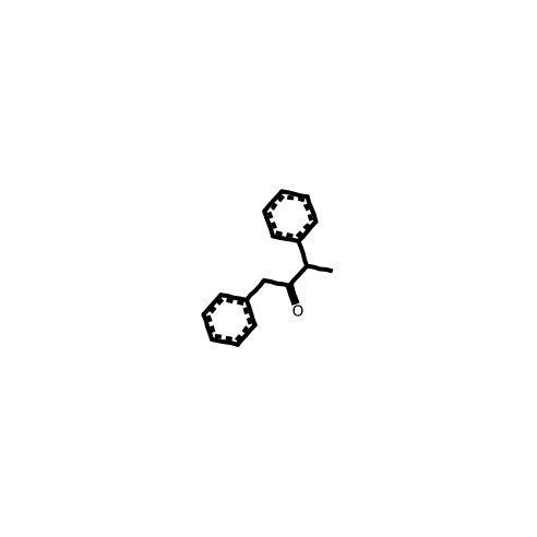 CC(C(=O)Cc1ccccc1)c1ccccc1